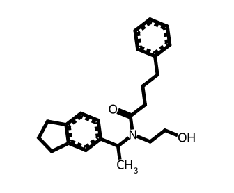 CC(c1ccc2c(c1)CCC2)N(CCO)C(=O)CCCc1ccccc1